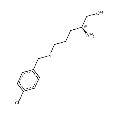 N[C@H](CO)CCCSCc1ccc(Cl)cc1